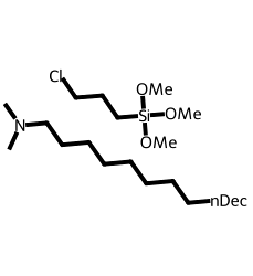 CCCCCCCCCCCCCCCCCCN(C)C.CO[Si](CCCCl)(OC)OC